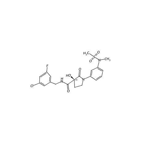 CN(c1cccc(N2CC[C@](O)(C(=O)NCc3cc(F)cc(Cl)c3)C2=O)c1)S(C)(=O)=O